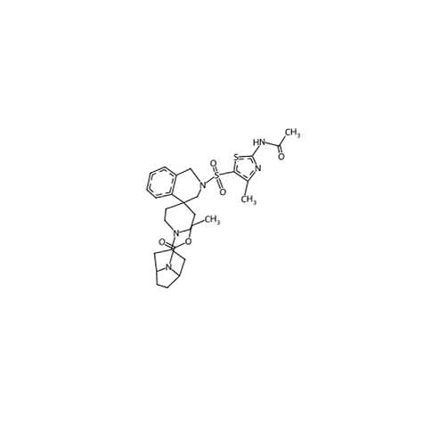 CCOC(=O)N1C2CCC1CC(N1CCC3(CC1)CN(S(=O)(=O)c1sc(NC(C)=O)nc1C)Cc1ccccc13)C2